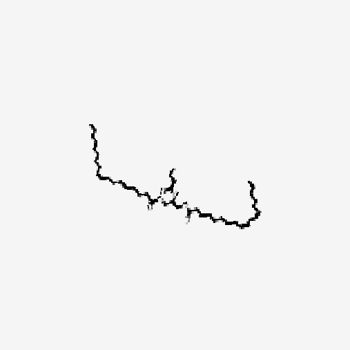 CCCCC/C=C\C/C=C\CCCCCCCC(=O)OCC(COC(=O)CCCCCCC/C=C\CCCCCCCC)OC(=O)CCC